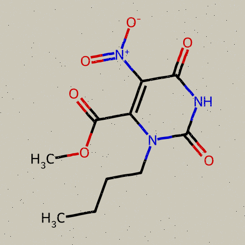 CCCCn1c(C(=O)OC)c([N+](=O)[O-])c(=O)[nH]c1=O